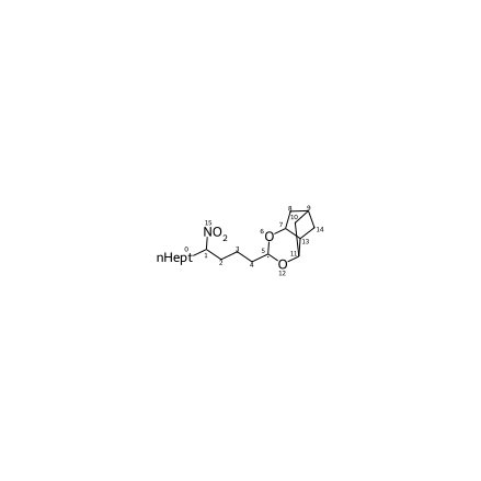 [CH2]CCCCCCC(CCC[C]1OC2CC3CC(O1)C2C3)[N+](=O)[O-]